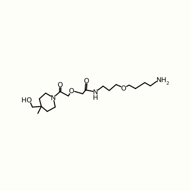 CC1(CO)CCN(C(=O)COCC(=O)NCCCOCCCCN)CC1